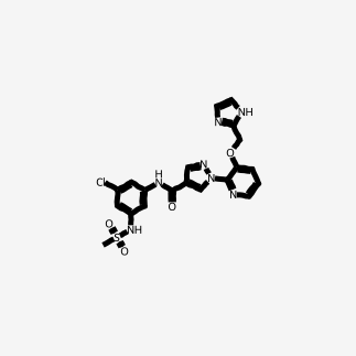 CS(=O)(=O)Nc1cc(Cl)cc(NC(=O)c2cnn(-c3ncccc3OCc3ncc[nH]3)c2)c1